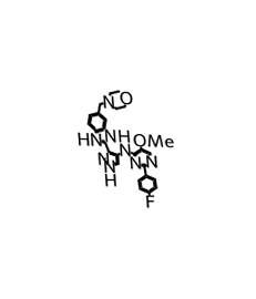 COc1cnc(-c2ccc(F)cc2)nc1Nc1c[nH]nc1-c1nc2cc(CN3CCOCC3)ccc2[nH]1